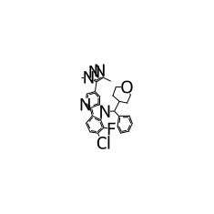 Cc1nnn(C)c1-c1cnc2c3ccc(Cl)c(F)c3n(C(c3ccccc3)C3CCOCC3)c2c1